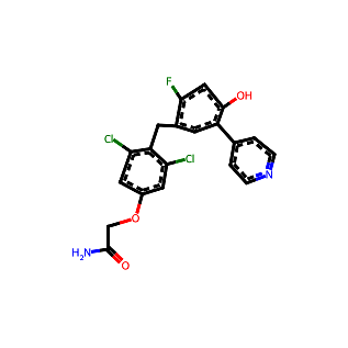 NC(=O)COc1cc(Cl)c(Cc2cc(-c3ccncc3)c(O)cc2F)c(Cl)c1